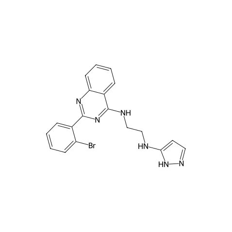 Brc1ccccc1-c1nc(NCCNc2ccn[nH]2)c2ccccc2n1